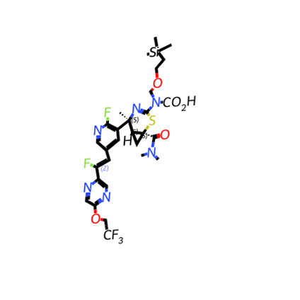 CN(C)C(=O)[C@]12C[C@H]1[C@@](C)(c1cc(/C=C(\F)c3cnc(OCC(F)(F)F)cn3)cnc1F)N=C(N(COCC[Si](C)(C)C)C(=O)O)S2